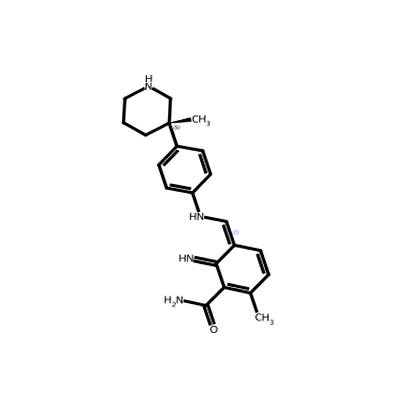 CC1=C(C(N)=O)C(=N)/C(=C\Nc2ccc([C@]3(C)CCCNC3)cc2)C=C1